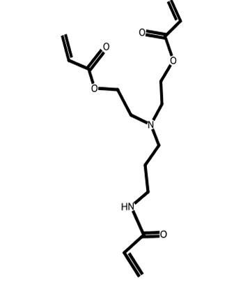 C=CC(=O)NCCCN(CCOC(=O)C=C)CCOC(=O)C=C